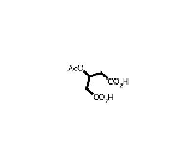 CC(=O)OC(CC(=O)O)CC(=O)O